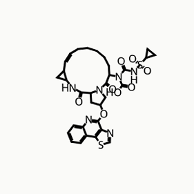 O=C1NC2CC2C=CCCCCCC(N(C(=O)O)C(=O)NS(=O)(=O)C2CC2)C(=O)N2CC(Oc3nc4ccccc4c4scnc34)CC12